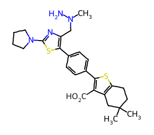 CN(N)Cc1nc(N2CCCC2)sc1-c1ccc(-c2sc3c(c2C(=O)O)CC(C)(C)CC3)cc1